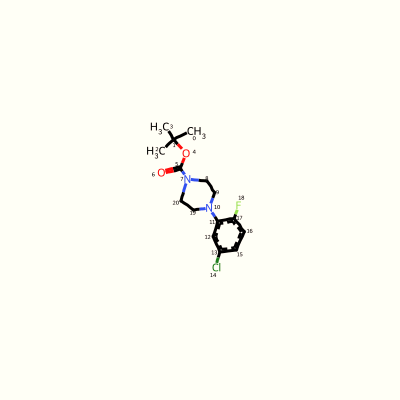 CC(C)(C)OC(=O)N1CCN(c2cc(Cl)ccc2F)CC1